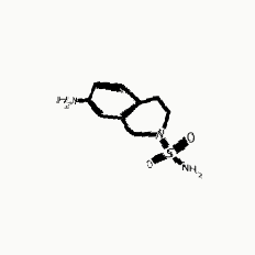 Nc1ccc2c(c1)CN(S(N)(=O)=O)CC2